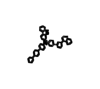 c1ccc(-c2ccc(-c3ccc(N(c4ccc(-c5cccc(-c6cccc7ccccc67)c5)cc4)c4ccc5c(c4)sc4ccccc45)cc3)cc2)cc1